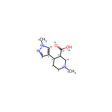 CN1CCC(c2cnn(C)c2)C(C(=O)O)C1